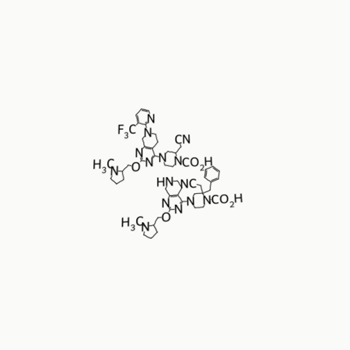 CN1CCCC1COc1nc2c(c(N3CCN(C(=O)O)C(CC#N)(Cc4ccccc4)C3)n1)CCNC2.CN1CCCC1COc1nc2c(c(N3CCN(C(=O)O)C(CC#N)C3)n1)CCN(c1ncccc1C(F)(F)F)C2